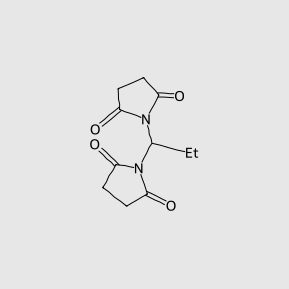 [CH2]CC(N1C(=O)CCC1=O)N1C(=O)CCC1=O